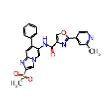 Cc1cc(-c2nc(C(=O)Nc3cn4cc(S(C)(=O)=O)nc4cc3-c3ccccc3)co2)ccn1